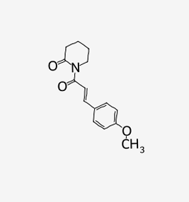 COc1ccc(C=CC(=O)N2CCCCC2=O)cc1